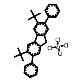 CC(C)(C)c1cc2c(cc1-c1ccccc1)[CH]c1cc(-c3ccccc3)c(C(C)(C)C)cc1-2.[Cl][Zr]([Cl])([Cl])[Cl]